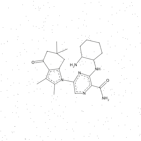 Cc1c2c(n(-c3cnc(C(N)=O)c(NC4CCCCC4N)n3)c1C)CC(C)(C)CC2=O